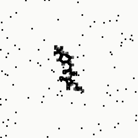 NC[C@@H]1NC(=O)[C@@H]1NC(=O)Cc1ccc(C(F)(F)F)cc1